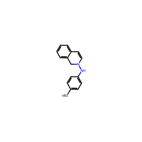 CCCCc1ccc(NN2C=Cc3ccccc3C2)cc1